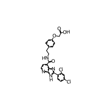 O=C(O)COc1ccc(CCNC(=O)c2ccnc3[nH]c(-c4ccc(Cl)cc4Cl)nc23)cc1